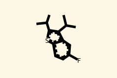 CC(C)c1sc2ccc(F)cc2c1C(C)C